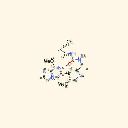 CCN(C(=O)N[C@]1(C)C[C@H]1C(F)(F)F)[C@H](C)c1cc(-c2cn3ccnc3c(OC)n2)c(OC)cn1